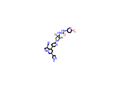 COc1ccc(NC(=O)N[C@H]2[C@@H]3CN(c4ccc(-c5cc(-c6cnn(C)c6)cn6ncc(C#N)c56)cn4)C[C@@H]32)cn1